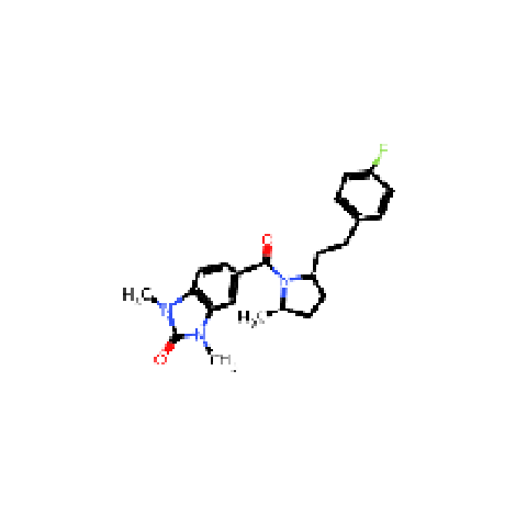 C[C@@H]1CC[C@H](CCc2ccc(F)cc2)N1C(=O)c1ccc2c(c1)n(C)c(=O)n2C